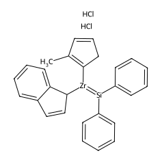 CC1=[C]([Zr]([CH]2C=Cc3ccccc32)=[Si](c2ccccc2)c2ccccc2)CC=C1.Cl.Cl